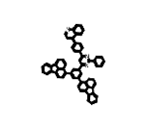 c1ccc(-c2nc(-c3ccc(-c4ccnc5ccccc45)cc3)cc(-c3cc(-c4ccc5c6c(cccc46)-c4ccccc4-5)cc(-c4ccc5c6c(cccc46)-c4ccccc4-5)c3)n2)cc1